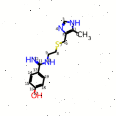 Cc1[nH]cnc1CSCCNC(=N)c1ccc(O)cc1